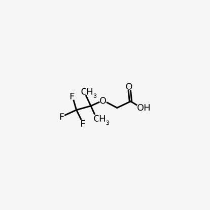 CC(C)(OCC(=O)O)C(F)(F)F